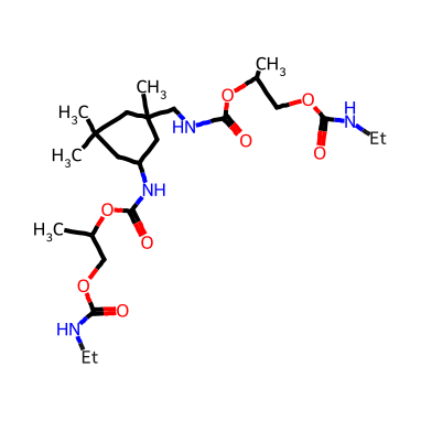 CCNC(=O)OCC(C)OC(=O)NCC1(C)CC(NC(=O)OC(C)COC(=O)NCC)CC(C)(C)C1